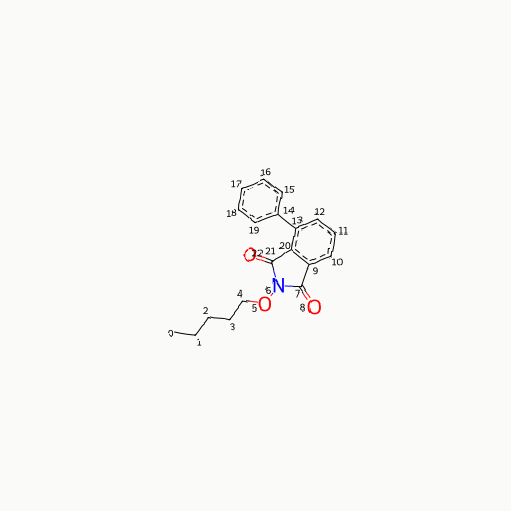 CCCCCON1C(=O)c2cccc(-c3ccccc3)c2C1=O